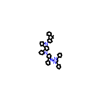 CC1(C)c2ccccc2-c2cc(-n3c4ccccc4c4c5c6ccccc6n(-c6ccc7c(c6)c6ccccc6n7-c6nc(-c7ccccc7)cc(-c7ccccc7)n6)c5ccc43)ccc21